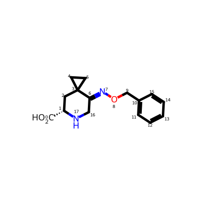 O=C(O)[C@@H]1CC2(CC2)C(=NOCc2ccccc2)CN1